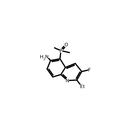 CCc1nc2ccc(N)c(P(C)(C)=O)c2cc1F